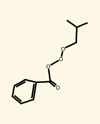 CC(C)COOOC(=O)c1ccccc1